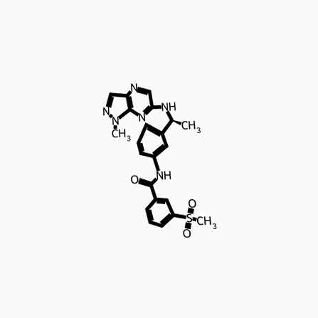 C[C@H](Nc1cnc2cnn(C)c2n1)c1cccc(NC(=O)c2cccc(S(C)(=O)=O)c2)c1